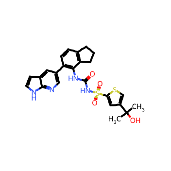 CC(C)(O)c1csc(S(=O)(=O)NC(=O)Nc2c(-c3cnc4[nH]ccc4c3)ccc3c2CCC3)c1